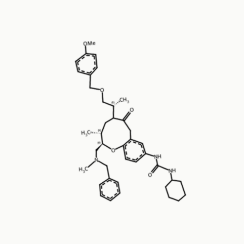 COc1ccc(COC[C@H](C)C2C[C@@H](C)[C@H](CN(C)Cc3ccccc3)Oc3ccc(NC(=O)NC4CCCCC4)cc3CC2=O)cc1